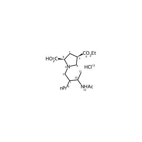 CCCC(CN1C[C@H](C(=O)OCC)C[C@@H]1C(=O)O)C(C)NC(C)=O.Cl